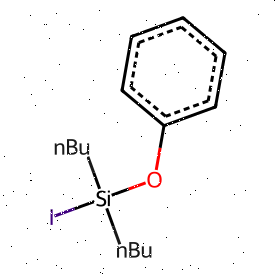 CCCC[Si](I)(CCCC)Oc1ccccc1